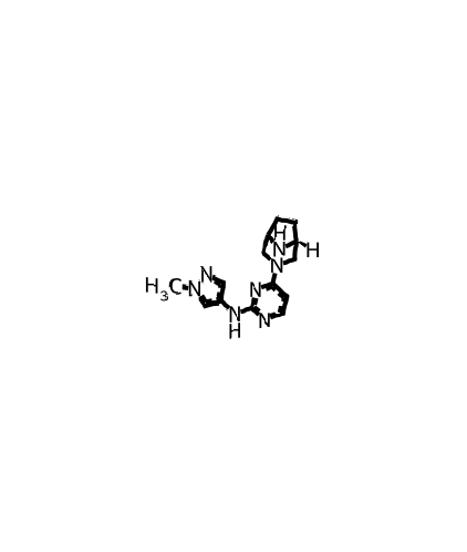 Cn1cc(Nc2nccc(N3CC4CC[C@H](C3)N4)n2)cn1